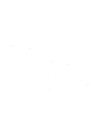 COC(=O)c1ccc(C)c(-n2c(C)nc(OCc3cccc(C)n3)cc2=O)c1